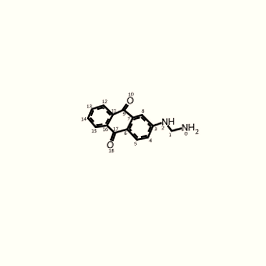 NCNc1ccc2c(c1)C(=O)c1ccccc1C2=O